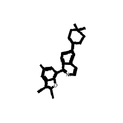 Cc1cc(-c2nccc3cc(C4CCC(C)(C)CC4)ccc23)c2oc(C)c(C)c2c1